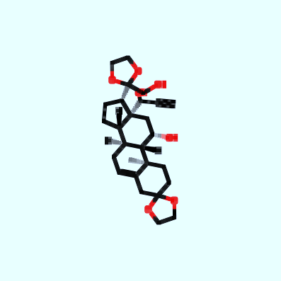 C#CC(O)[C@]12C[C@H](O)[C@H]3[C@@H](CC=C4CC5(CC[C@@]43C)OCCO5)[C@@H]1CC[C@@H]2C1(CO)OCCO1